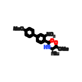 CCCC[C@H](NC(=O)c1ccc(-c2ccc(OC)cc2)cc1[N+](=O)[O-])C(=O)OC